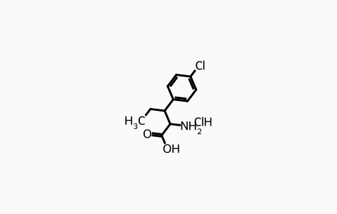 CCC(c1ccc(Cl)cc1)C(N)C(=O)O.Cl